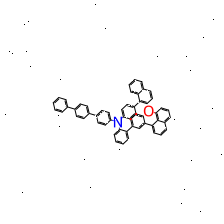 c1ccc(-c2ccc(-c3ccc(N(c4ccc(-c5cccc6ccccc56)cc4)c4ccccc4-c4ccc5c(c4)-c4cccc6cccc(c46)O5)cc3)cc2)cc1